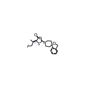 C/C(CF)=C1/SC(N2CCC3(CC2)OCc2ccccc23)=NC1=O